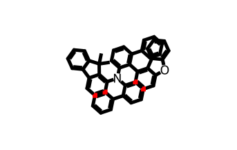 CC1(C)c2ccccc2-c2cccc(N(c3ccccc3-c3ccccc3)c3cccc(-c4ccccc4)c3-c3cccc4oc5ccccc5c34)c21